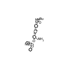 CCC(C)n1ncn(-c2ccc(N3CCN(c4ccc(OC[C@@H]5CO[C@@](Cn6nccn6)(c6ccccc6)O5)c(CN)c4)CC3)cc2)c1=O